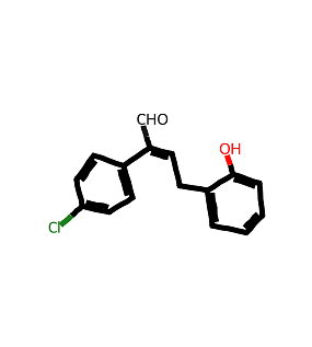 O=CC(=CCc1ccccc1O)c1ccc(Cl)cc1